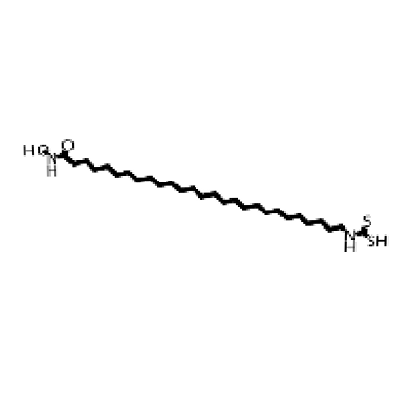 O=C(CCCCCCCCCCCCCCCCCCCCCCCCCCNC(=S)S)NO